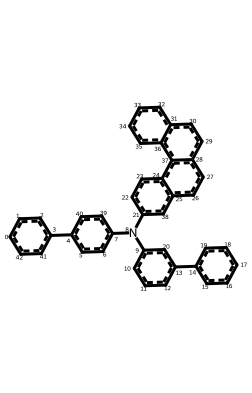 c1ccc(-c2ccc(N(c3cccc(-c4ccccc4)c3)c3ccc4c(ccc5ccc6ccccc6c54)c3)cc2)cc1